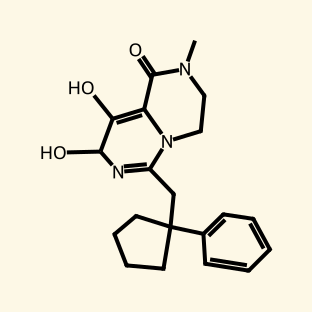 CN1CCN2C(CC3(c4ccccc4)CCCC3)=NC(O)C(O)=C2C1=O